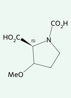 COC1CCN(C(=O)O)[C@@H]1C(=O)O